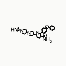 NC(=O)c1ccc(C2CCN(C3CCN(C4CNC4)CC3)CC2)nc1-c1ccc(Oc2ccccc2)cc1